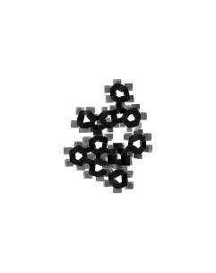 C1=CC2c3cc4c(cc3N(c3ccccc3)C2C=C1)c1ccccc1n4-c1cc(-c2nc(-c3ccccc3)nc(-c3ccccc3)n2)c2c3ccccc3c3ccccc3c2c1